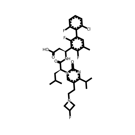 Cc1cc(-c2c(F)cccc2Cl)c(F)c([C@H](CC(=O)O)NC(=O)[C@H](CC(C)C)n2cc(CCN3CC(F)C3)c(C(C)C)nc2=O)c1F